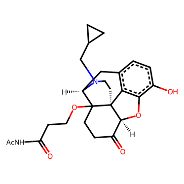 CC(=O)NC(=O)CCOC12CCC(=O)[C@@H]3Oc4c(O)ccc5c4[C@@]31CCN(CC1CC1)[C@@H]2C5